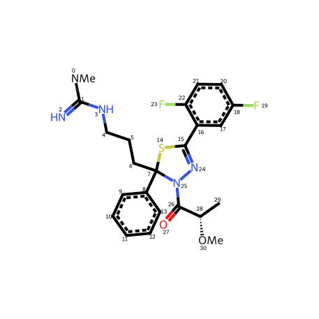 CNC(=N)NCCCC1(c2ccccc2)SC(c2cc(F)ccc2F)=NN1C(=O)[C@H](C)OC